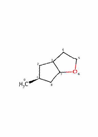 C[C@H]1CC2CCOC2C1